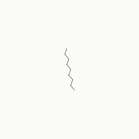 CCC[CH]CCCCC